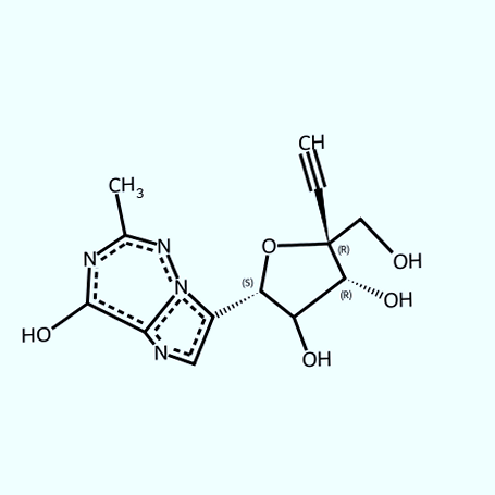 C#C[C@]1(CO)O[C@@H](c2cnc3c(O)nc(C)nn23)C(O)[C@H]1O